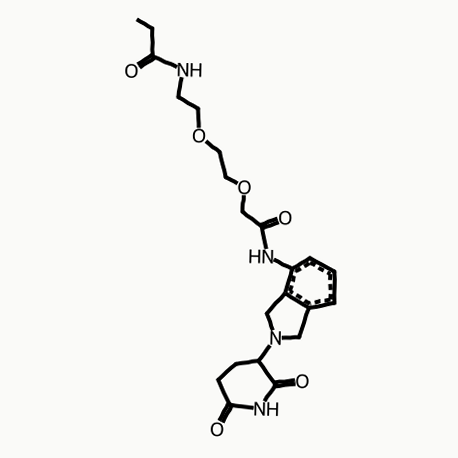 CCC(=O)NCCOCCOCC(=O)Nc1cccc2c1CN(C1CCC(=O)NC1=O)C2